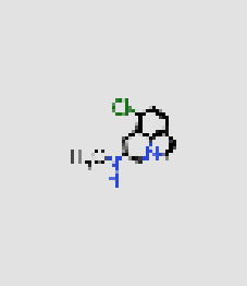 CNC1Cc2c(Cl)ccc3ccn(c23)C1